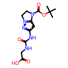 CC(C)(C)OC(=O)N1CCn2nc(NC(=O)NCC(=O)O)cc21